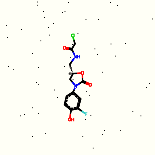 O=C(CCl)NC[C@H]1CN(c2ccc(O)c(F)c2)C(=O)O1